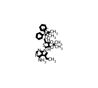 C=Cc1cn([C@@H]2SC(CO[Si](c3ccccc3)(c3ccccc3)C(C)(C)C)[C@H]3OC(C)(C)O[C@H]32)c2ncnc(N)c12